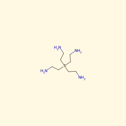 NC[CH2][Ti]([CH2]CN)([CH2]CN)[CH2]CN